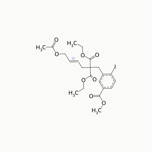 CCOC(=O)C(C/C=C/COC(C)=O)(Cc1cc(C(=O)OC)ccc1I)C(=O)OCC